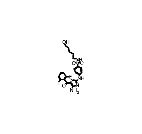 Nc1nc(Nc2ccc(S(=O)(=O)NCCCCCO)cc2)sc1C(=O)c1c(F)cccc1F